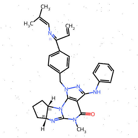 C=C/C(=N\C=C(C)C)c1ccc(Cn2nc(Nc3ccccc3)c3c2N2C(=N[C@@H]4CCC[C@@H]42)N(C)C3=O)cc1